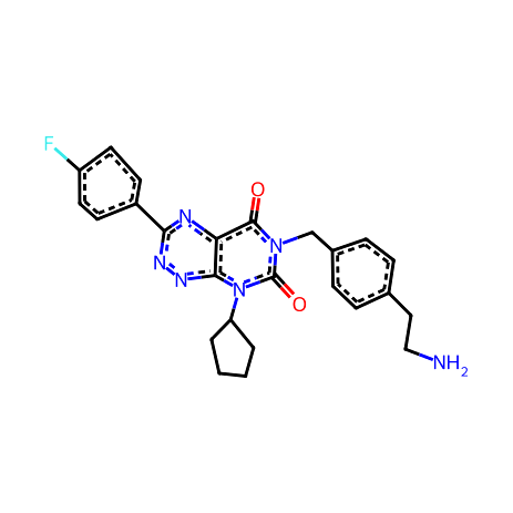 NCCc1ccc(Cn2c(=O)c3nc(-c4ccc(F)cc4)nnc3n(C3CCCC3)c2=O)cc1